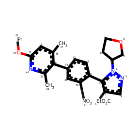 CCOC(=O)c1cnn(C2CCOC2)c1-c1ccc(-c2c(C)cc(OC(C)C)nc2C)cc1[N+](=O)[O-]